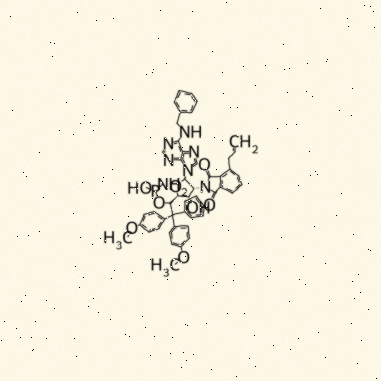 C=CCc1cccc2c1C(=O)N([C@@H]1[C@H](O)[C@@H](C(OP(N)O)C(c3ccccc3)(c3ccc(OC)cc3)c3ccc(OC)cc3)O[C@H]1n1cnc3c(NCc4ccccc4)ncnc31)C2=O